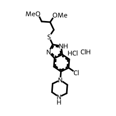 COCC(CSc1nc2cc(N3CCNCC3)c(Cl)cc2[nH]1)OC.Cl.Cl